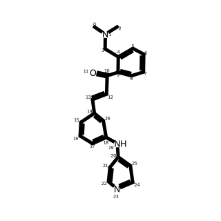 CN(C)Cc1ccccc1C(=O)C=Cc1cccc(Nc2ccncc2)c1